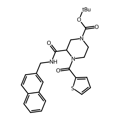 CC(C)(C)OC(=O)N1CCN(C(=O)c2cccs2)C(C(=O)NCc2ccc3ccccc3c2)C1